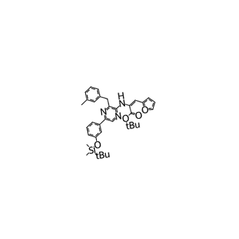 Cc1cccc(Cc2nc(-c3cccc(O[Si](C)(C)C(C)(C)C)c3)cnc2NC(=Cc2ccco2)C(=O)OC(C)(C)C)c1